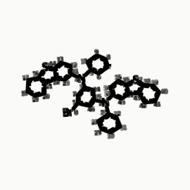 Brc1cc(N(c2ccccc2)c2ccc3sc4ccccc4c3c2)cc(N(c2ccccc2)c2ccc3sc4ccccc4c3c2)c1